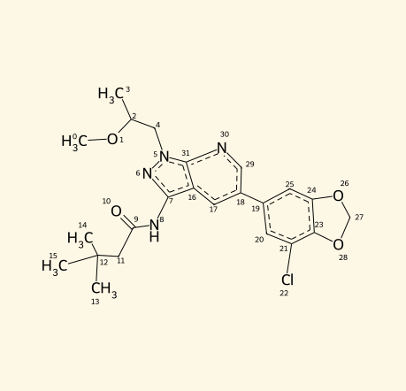 COC(C)Cn1nc(NC(=O)CC(C)(C)C)c2cc(-c3cc(Cl)c4c(c3)OCO4)cnc21